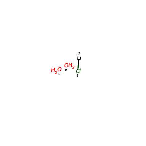 O.O.[Li][Cl]